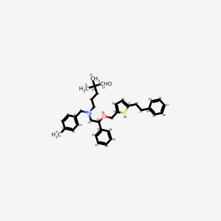 Cc1ccc(CN(CCCC(C)(C)C=O)CC(OCc2ccc(CCc3ccccc3)s2)c2ccccc2)cc1